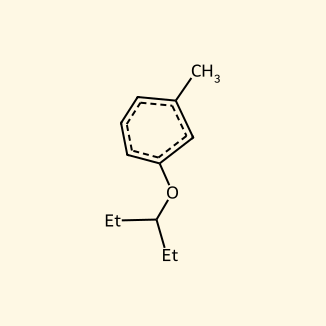 CCC(CC)Oc1cccc(C)c1